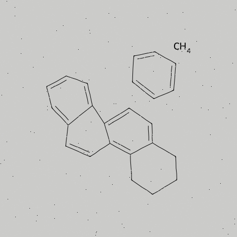 C.c1ccc2c(c1)ccc1c3c(ccc12)CCCC3.c1ccccc1